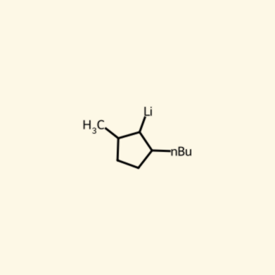 [Li][CH]1C(C)CCC1CCCC